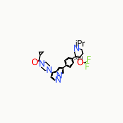 CC(C)N1CC[C@H](OC(F)F)[C@@H](c2ccc(-c3cc4c(N5CCN(C(=O)C6CC6)CC5)ccnn4c3)cc2)C1